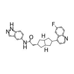 O=C(C[C@H]1C[C@H]2CC(c3ccnc4ccc(F)cc34)C[C@H]2C1)Nc1ccc2[nH]ncc2c1